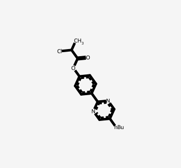 CCCCc1cnc(-c2ccc(OC(=O)C(C)Cl)cc2)nc1